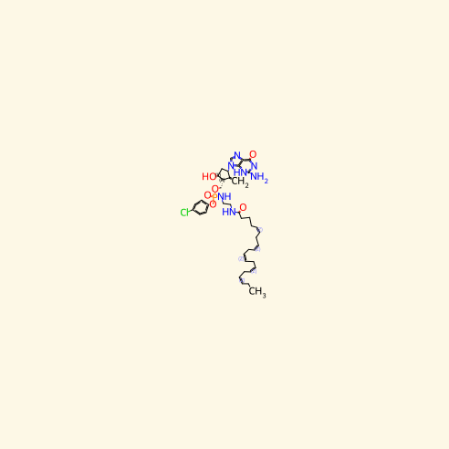 C=C1C(n2cnc3c(=O)nc(N)[nH]c32)C[C@H](O)[C@H]1COP(=O)(NCCNC(=O)CCC/C=C\C/C=C\C/C=C\C/C=C\C/C=C\CC)Oc1ccc(Cl)cc1